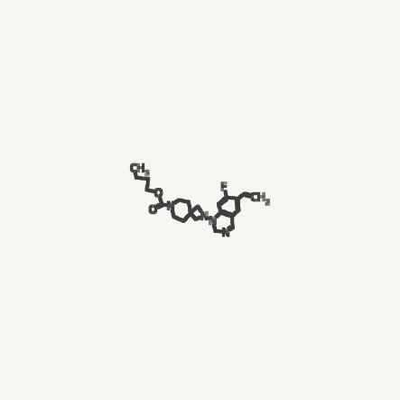 C=Cc1cc2c(cc1F)N(N1CC3(CCN(C(=O)OCCCC)CC3)C1)CN=C2